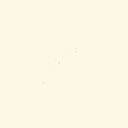 CON(C)S(=O)(=O)CC1(NC(=O)N[C@H](C(=O)N2C[C@H]3[C@@H]([C@H]2C(=O)N[C@@H](CCC2CC2)C(=O)C(=O)NC2CC2)C3(C)C)C2(C)CCCCC2)CCCCC1